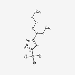 CCCCCCCCCCCCOC(COC(C)=O)c1coc([Si](CC)(CC)CC)c1